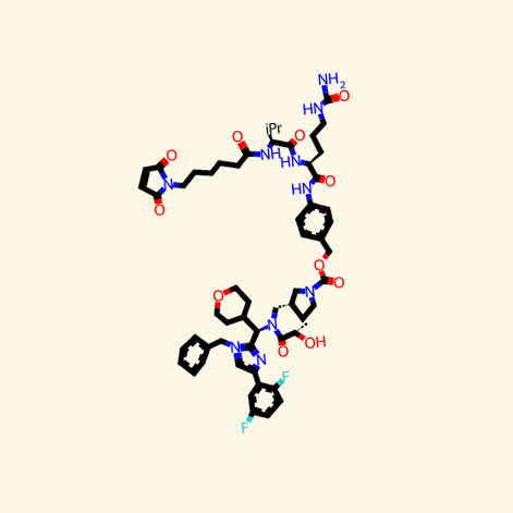 CC(C)[C@H](NC(=O)CCCCCN1C(=O)C=CC1=O)C(=O)N[C@@H](CCCNC(N)=O)C(=O)Nc1ccc(COC(=O)N2CC[C@H](CN(C(=O)[C@H](C)O)[C@@H](c3nc(-c4cc(F)ccc4F)cn3Cc3ccccc3)C3CCOCC3)C2)cc1